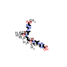 COC(=O)c1cnc(N2CC(CN(C(=O)OC(C)(C)C)C(C)CCC(C)(C)OC(=O)N(CC3CN(c4cnc(C(=O)O)cn4)C3)C(C)C)C2)cn1